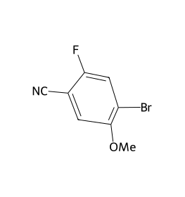 COc1cc(C#N)c(F)cc1Br